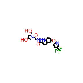 O=C(NCC(=O)N1C[C@H](O)C[C@H]1CO)c1ccc2cc(Oc3ccc(C(F)(F)F)cn3)ccc2n1